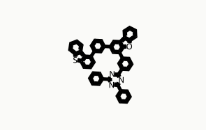 c1ccc(-c2nc(-c3ccccc3)nc(-c3cccc(-c4cc(-c5cccc(-c6cccc7sc8ccccc8c67)c5)cc5c4oc4ccccc45)c3)n2)cc1